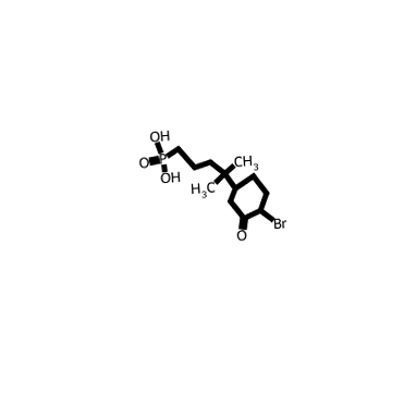 CC(C)(CCCP(=O)(O)O)C1CCC(Br)C(=O)C1